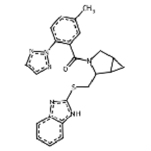 Cc1ccc(-n2nccn2)c(C(=O)N2CC3CC3C2CSc2nc3ccccc3[nH]2)c1